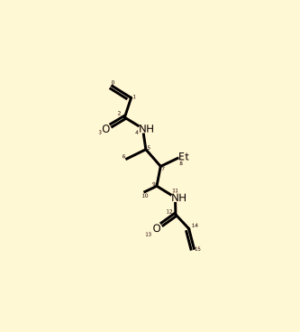 C=CC(=O)NC(C)C(CC)C(C)NC(=O)C=C